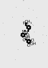 CC(F)(F)Cc1cccc(Cn2cnc3cccc(NC(=O)c4cc(Cl)c(O)c(Cl)c4)c3c2=O)c1